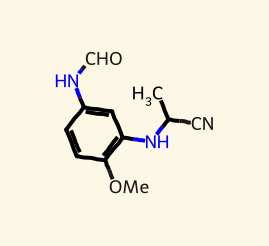 COc1ccc(NC=O)cc1NC(C)C#N